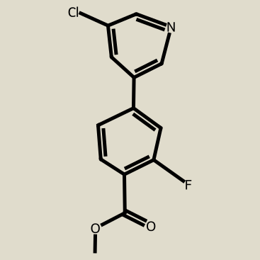 COC(=O)c1ccc(-c2cncc(Cl)c2)cc1F